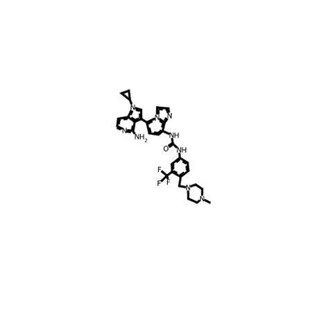 CN1CCN(Cc2ccc(NC(=O)Nc3ccc(-c4cn(C5CC5)c5ccnc(N)c45)n4ccnc34)cc2C(F)(F)F)CC1